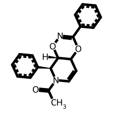 CC(=O)N1C=CC2OC(c3ccccc3)=NO[C@H]2[C@@H]1c1ccccc1